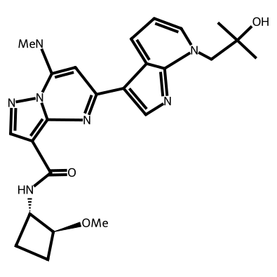 CNc1cc(-c2cnc3n(CC(C)(C)O)cccc2-3)nc2c(C(=O)N[C@H]3CC[C@@H]3OC)cnn12